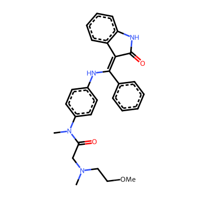 COCCN(C)CC(=O)N(C)c1ccc(NC(=C2C(=O)Nc3ccccc32)c2ccccc2)cc1